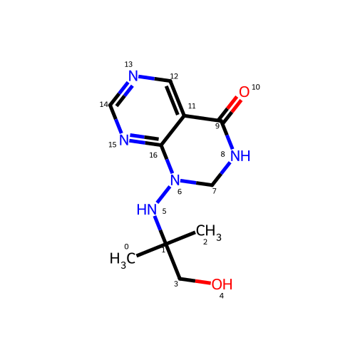 CC(C)(CO)NN1CNC(=O)c2cncnc21